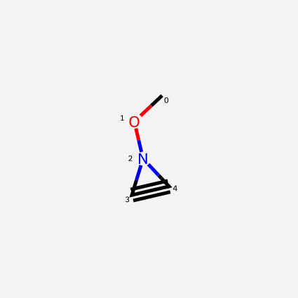 CON1C#C1